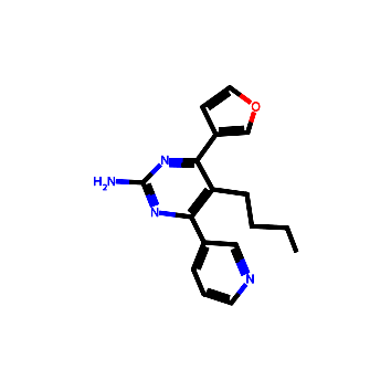 CCCCc1c(-c2cccnc2)nc(N)nc1-c1ccoc1